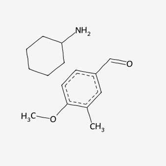 COc1ccc(C=O)cc1C.NC1CCCCC1